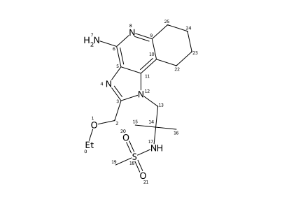 CCOCc1nc2c(N)nc3c(c2n1CC(C)(C)NS(C)(=O)=O)CCCC3